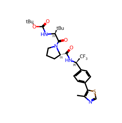 Cc1ncsc1-c1ccc([C@@H](NC(=O)[C@@H]2CCCN2C(=O)[C@@H](NC(=O)OC(C)(C)C)C(C)(C)C)C(F)(F)F)cc1